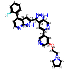 Fc1ccccc1-c1ccnc2[nH]c(-c3n[nH]c4cnc(-c5cncc(OCCN6CCCC6)c5)cc34)cc12